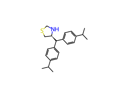 CC(C)c1ccc(C(c2ccc(C(C)C)cc2)[C@H]2CSCN2)cc1